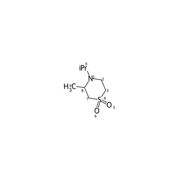 CC(C)N1CCS(=O)(=O)CC1C